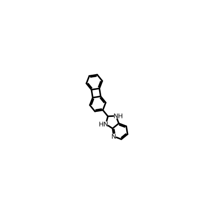 c1cnc2c(c1)NC(c1ccc3c(c1)-c1ccccc1-3)N2